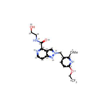 COc1nc(OCC(F)(F)F)ccc1Cn1cc2c(C(=O)NCCO)nccc2n1